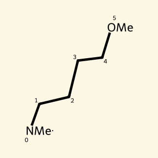 C[N]CCCCOC